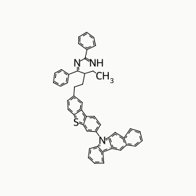 CCC(CCc1ccc2sc3cc(-n4c5ccccc5c5cc6ccccc6cc54)ccc3c2c1)/C(=N\C(=N)c1ccccc1)c1ccccc1